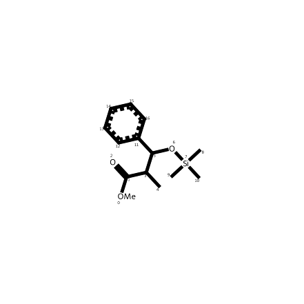 COC(=O)C(C)C(O[Si](C)(C)C)c1ccccc1